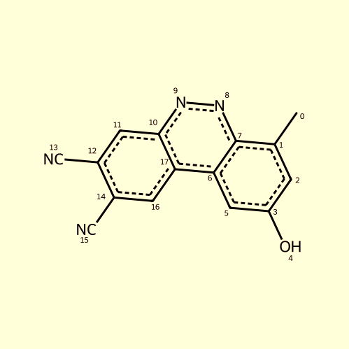 Cc1cc(O)cc2c1nnc1cc(C#N)c(C#N)cc12